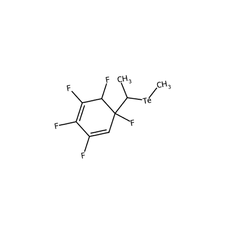 C[Te]C(C)C1(F)C=C(F)C(F)=C(F)C1F